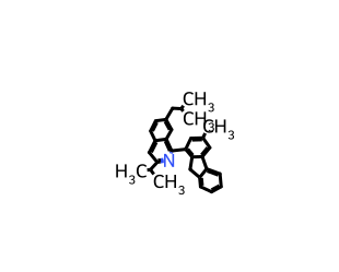 Cc1cc2c(c(-c3nc(C(C)C)cc4ccc(CC(C)C)cc34)c1)Cc1ccccc1-2